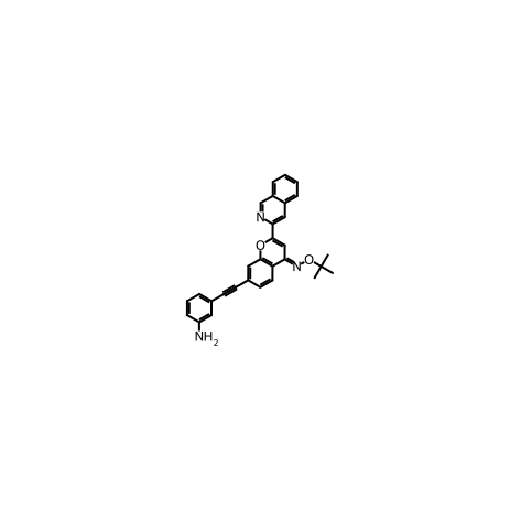 CC(C)(C)ON=c1cc(-c2cc3ccccc3cn2)oc2cc(C#Cc3cccc(N)c3)ccc12